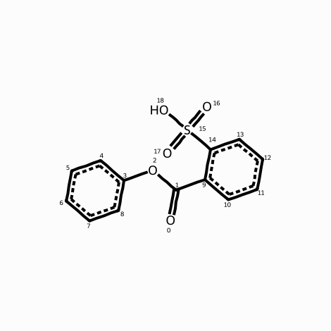 O=C(Oc1ccccc1)c1ccccc1S(=O)(=O)O